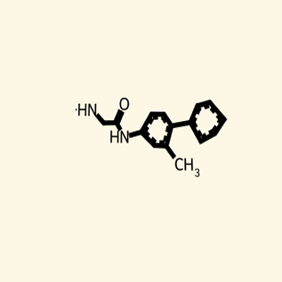 Cc1cc(NC(=O)C[NH])ccc1-c1ccccc1